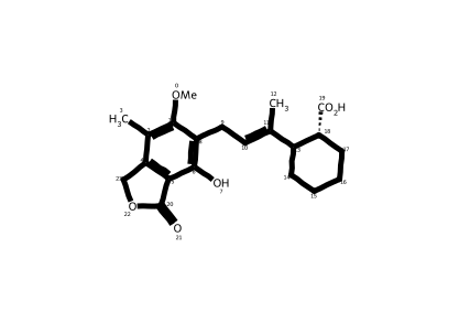 COc1c(C)c2c(c(O)c1C/C=C(\C)C1CCCC[C@H]1C(=O)O)C(=O)OC2